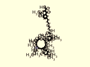 CC[C@H]1OC(=O)[C@H](C)[C@@H](O[C@H]2C[C@@](C)(OC)[C@@H](OC(=O)NCCOCCCc3ccc4c(c3)c(=O)c(C(=O)O)cn4N(C)C)[C@H](C)O2)[C@H](C)[C@@H](O[C@@H]2O[C@H](C)C[C@H](N(C)C)[C@H]2O)[C@](C)(O)C[C@@H](C)/C(=N\OCOC)[C@@H](C)[C@@H](O)[C@]1(C)O